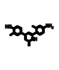 C=C1C=C(c2ccc(O)c(C)c2)C=C(c2ccc(N)cc2C)N1